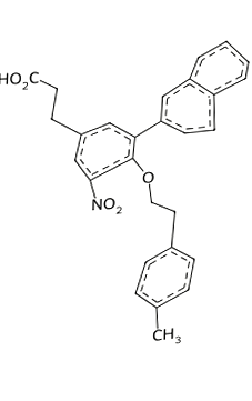 Cc1ccc(CCOc2c(-c3ccc4ccccc4c3)cc(CCC(=O)O)cc2[N+](=O)[O-])cc1